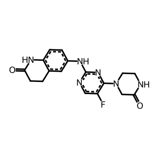 O=C1CN(c2nc(Nc3ccc4c(c3)CCC(=O)N4)ncc2F)CCN1